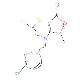 CC1OC(=O)C=C1N(Cc1ccc(Cl)nc1)CC(F)F